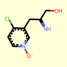 N=C(CO)Cc1c[n+]([O-])ccc1Cl